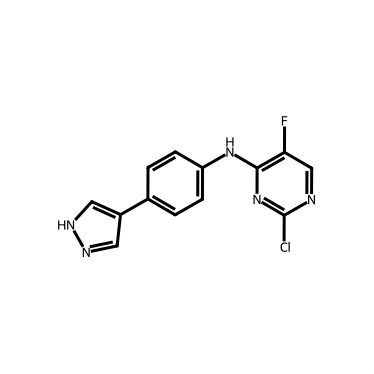 Fc1cnc(Cl)nc1Nc1ccc(-c2cn[nH]c2)cc1